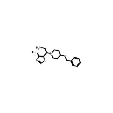 Cc1ncsc1C(CN)N1CCC(OCc2ccccc2)CC1